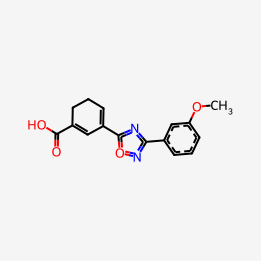 COc1cccc(-c2noc(C3=CCCC(C(=O)O)=C3)n2)c1